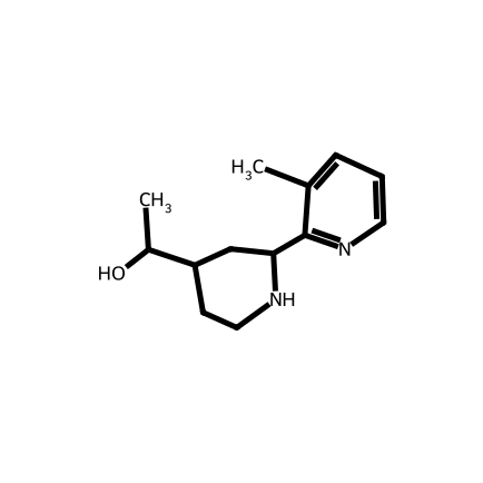 Cc1cccnc1C1CC(C(C)O)CCN1